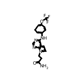 NC(=O)CCn1ccc2c(NC3=CCC=C(OC(F)(F)F)C=C3)ncnc21